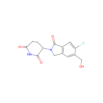 O=C1CCC(N2Cc3cc(CO)c(F)cc3C2=O)C(=O)N1